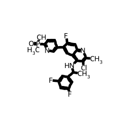 Cc1nc2cc(F)c(-c3ccc(P(C)(C)=O)nc3)cc2c(NC(C)c2cc(F)cc(F)c2)c1Cl